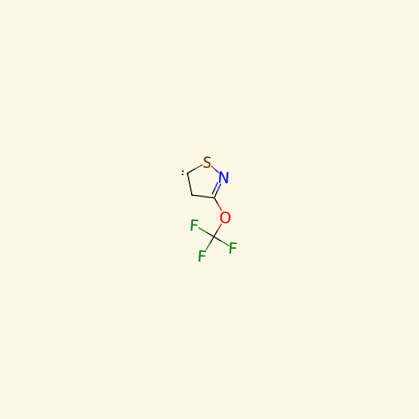 FC(F)(F)OC1=NS[C]C1